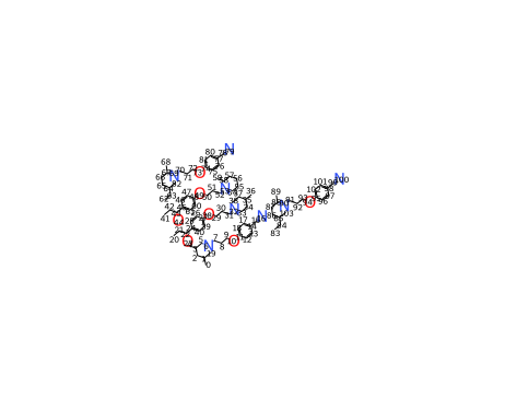 CC1CC(C)CN(CCCOc2ccc(C#N)cc2)C1.CCC(=O)c1ccc(OCCCN2CCC(C)CC2)cc1.CCC(=O)c1ccc(OCCCN2CCCCC2C)cc1.CCC1CCC(C)N(CCCOc2ccc(C#N)cc2)C1.CCC1CCC(C)N(CCCOc2ccc(C#N)cc2)C1